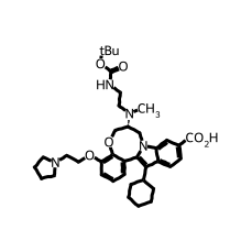 CN(CCNC(=O)OC(C)(C)C)[C@H]1COc2c(OCCN3CCCC3)cccc2-c2c(C3CCCCC3)c3ccc(C(=O)O)cc3n2C1